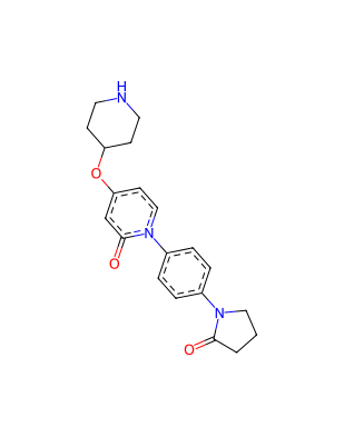 O=C1CCCN1c1ccc(-n2ccc(OC3CCNCC3)cc2=O)cc1